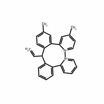 C=CC1c2ccccc2-c2cccc[n+]2-[n+]2ccc(C)cc2-c2cc(C)ccc21